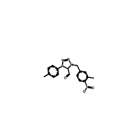 Cc1ccc(N2N=NN(Cc3ccc([N+](=O)[O-])c(C)c3)C2C=O)cc1